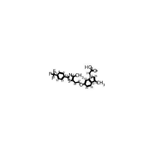 Cc1nc(-c2ccc(C(F)(F)F)cc2)sc1CCOc1ccc2c(C)cn(CC(=O)O)c2c1